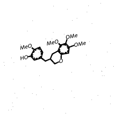 COc1ccc(CC2COc3cc(OC)c(OC)c(OC)c3C2)cc1O